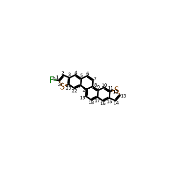 Fc1cc2cc3ccc4c5cc6sccc6cc5ccc4c3cc2s1